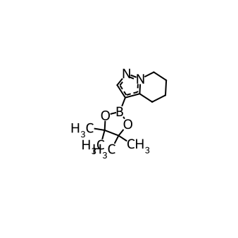 CC1(C)OB(c2cnn3c2CCCC3)OC1(C)C